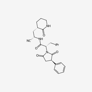 CC(C)C[C@@H](C(=O)N[C@H](C#N)C[C@@H]1CCCNC1=O)N1C(=O)C[C@H](c2ccccc2)C1=O